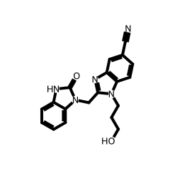 N#Cc1ccc2c(c1)nc(Cn1c(=O)[nH]c3ccccc31)n2CCCO